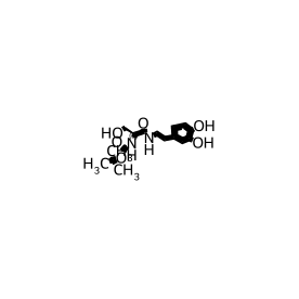 CC(C)(C)OC(=O)N[C@@H](CO)C(=O)NCCc1ccc(O)c(O)c1